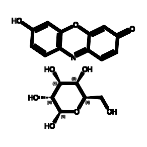 O=c1ccc2nc3ccc(O)cc3oc-2c1.OC[C@H]1O[C@@H](O)[C@H](O)[C@@H](O)[C@H]1O